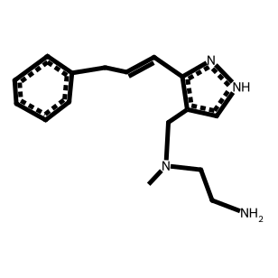 CN(CCN)Cc1c[nH]nc1/C=C/Cc1ccccc1